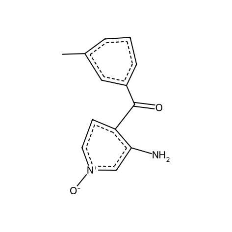 Cc1cccc(C(=O)c2cc[n+]([O-])cc2N)c1